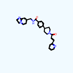 O=C(NCc1ccn2ccnc2c1)c1ccc(C2CCN(C(=O)C=Cc3ccccn3)CC2)cc1